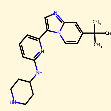 CC(C)(C)c1ccn2c(-c3cccc(NC4CCNCC4)n3)cnc2c1